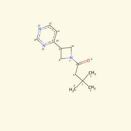 CC(C)(C)CC(=O)N1CC(c2ccncn2)C1